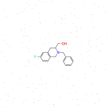 OCC1Cc2cc(F)ccc2CN1Cc1ccccc1